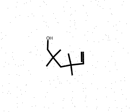 C=CC(C)(C)CC(C)(C)CO